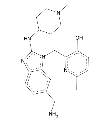 Cc1ccc(O)c(Cn2c(NC3CCN(C)CC3)nc3ccc(CN)cc32)n1